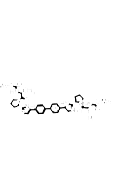 COC(=O)N[C@H](C)C(=O)N1CCC[C@H]1C1=NCC(C23CCC(c4ccc(-c5cnc([C@@H]6CCCN6C(=O)[C@@H](C)NC(=O)OC)[nH]5)cc4)(CC2)CC3)N1